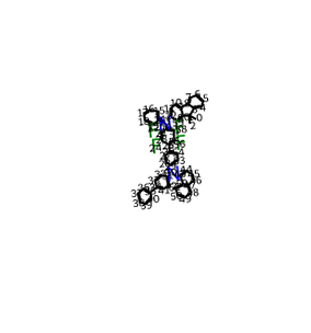 CC1(C)c2ccccc2-c2ccc(N(c3ccccc3)c3c(F)c(F)c(-c4ccc(N(c5ccc(-c6ccccc6)cc5)c5cccc6ccccc56)cc4)c(F)c3F)cc21